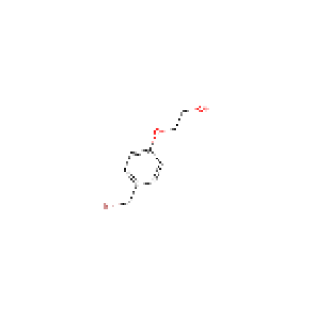 OCCOc1ccc(CBr)cc1